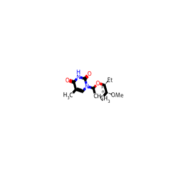 CC[C@@H](OC(C)n1cc(C)c(=O)[nH]c1=O)[C@@H](C)OC